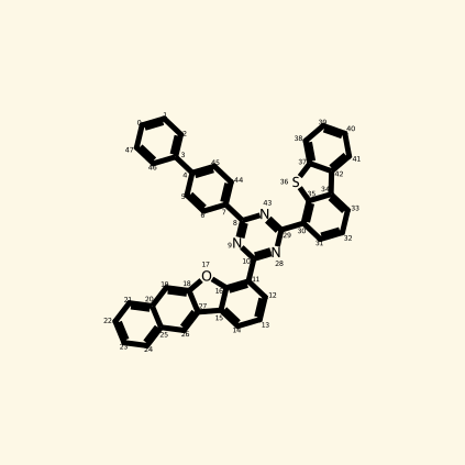 c1ccc(-c2ccc(-c3nc(-c4cccc5c4oc4cc6ccccc6cc45)nc(-c4cccc5c4sc4ccccc45)n3)cc2)cc1